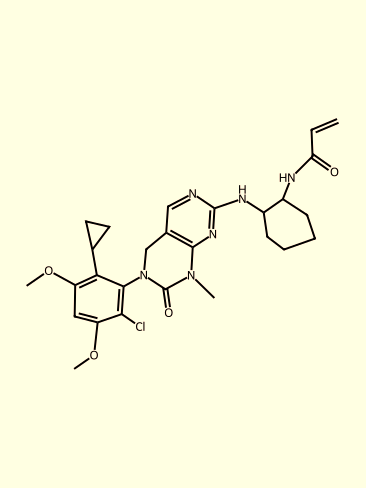 C=CC(=O)NC1CCCCC1Nc1ncc2c(n1)N(C)C(=O)N(c1c(Cl)c(OC)cc(OC)c1C1CC1)C2